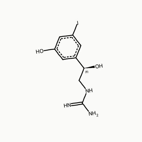 N=C(N)NC[C@H](O)c1cc(O)cc(I)c1